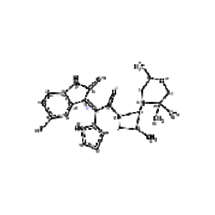 CC1CN(C2C(C)CN2C(=O)/C(=C2\C(=O)Nc3ccc(F)cc32)c2ccc[nH]2)C(C)(C)CO1